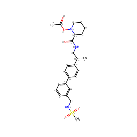 CS(=O)(=O)NCc1cccc(-c2ccc([C@@H](C#N)CNC(=O)[C@@H]3CCCCN3OC(=O)C(F)(F)F)cc2)c1